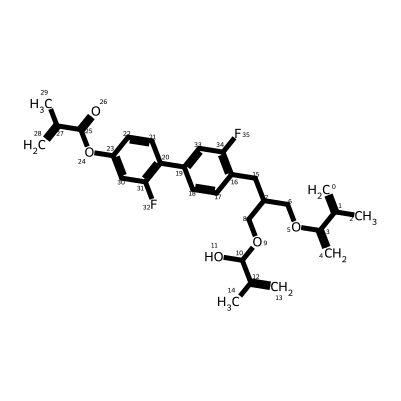 C=C(C)C(=C)OCC(COC(O)C(=C)C)Cc1ccc(-c2ccc(OC(=O)C(=C)C)cc2F)cc1F